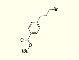 CC(C)(C)OC(=O)c1ccc(CCCBr)cc1